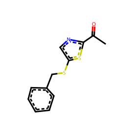 CC(=O)c1ncc(SCc2ccccc2)s1